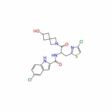 O=C(NC(Cc1nc(Cl)cs1)C(=O)N1CC2(CC(O)C2)C1)c1cc2cc(Cl)ccc2[nH]1